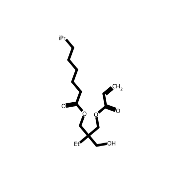 C=CC(=O)OCC(CC)(CO)COC(=O)CCCCCC(C)C